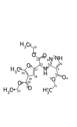 CCOC(=O)c1c[nH]nc1NC(C(=O)OCC)c1cc(C(=O)OCC)c(C)o1